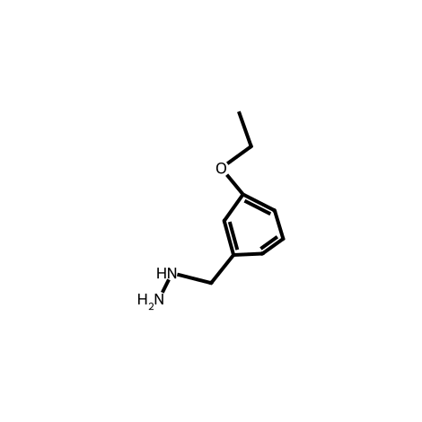 CCOc1cccc(CNN)c1